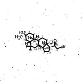 C[C@]1(O)CC[C@@H]2[C@H]3CC[C@]4(C)[C@@H](C(=O)CBr)CC[C@H]4[C@@H]3CC(F)(F)[C@@H]2C1